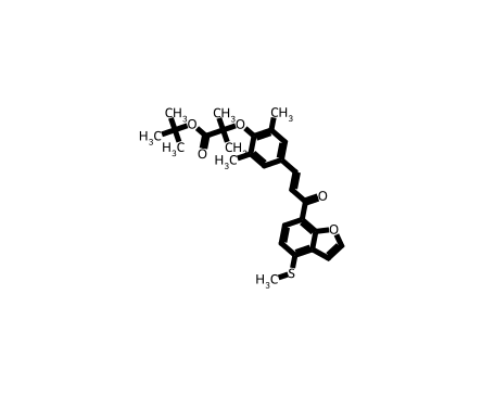 CSc1ccc(C(=O)/C=C/c2cc(C)c(OC(C)(C)C(=O)OC(C)(C)C)c(C)c2)c2occc12